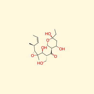 C/C=C\[C@H](C)[C@H]1OC1(C)[C@@H](O)[C@@H](CO)C(=O)[C@H]1CO[C@](O)(CC)CC1O